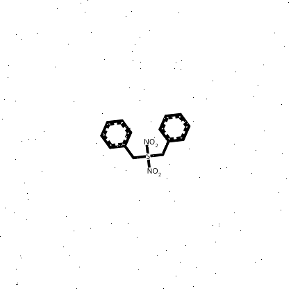 O=[N+]([O-])S(Cc1ccccc1)(Cc1ccccc1)[N+](=O)[O-]